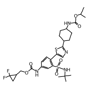 CC(C)OC(=O)NC1CCC(c2ncc(-c3ccc(NC(=O)OCC4CC4(F)F)cc3S(=O)(=O)NC(C)(C)C)s2)CC1